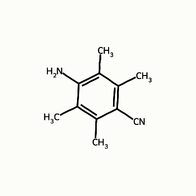 Cc1c(C)c(C#N)c(C)c(C)c1N